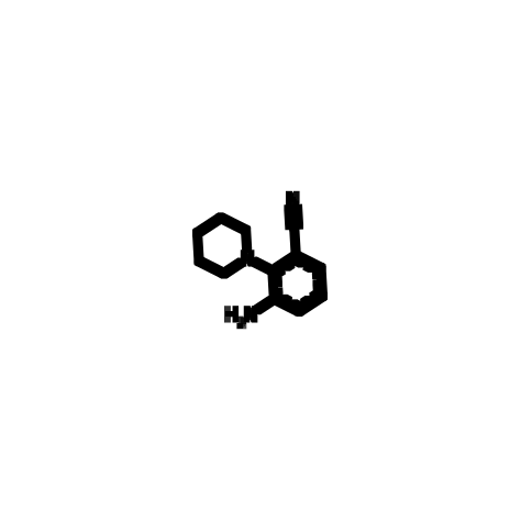 N#Cc1cccc(N)c1N1CCCCC1